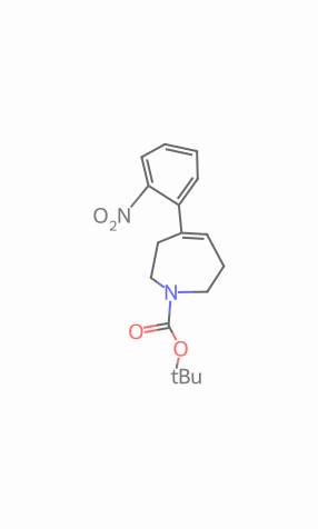 CC(C)(C)OC(=O)N1CCC=C(c2ccccc2[N+](=O)[O-])CC1